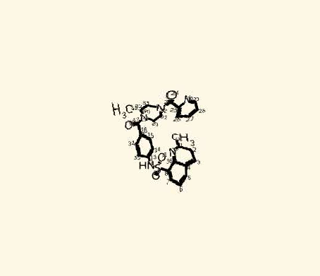 CC1CC=c2cccc(S(=O)(=O)NC3=CCC(C(=O)N4CCN(C(=O)c5ccccn5)C[C@H]4C)C=C3)c2=N1